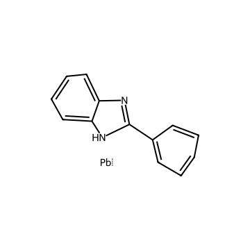 [Pb].c1ccc(-c2nc3ccccc3[nH]2)cc1